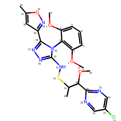 COc1cccc(OC)c1-n1c(NSC(C)C(OC)c2ncc(Cl)cn2)nnc1-c1cc(C)on1